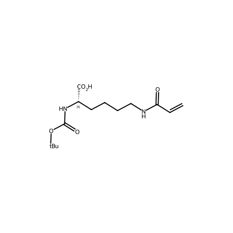 C=CC(=O)NCCCC[C@H](NC(=O)OC(C)(C)C)C(=O)O